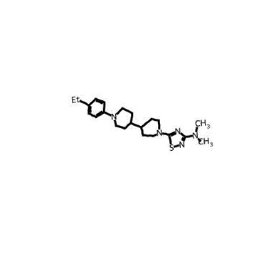 CCc1ccc(N2CCC(C3CCN(c4nc(N(C)C)ns4)CC3)CC2)cc1